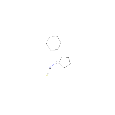 S=C=N[C@@H]1CCC[C@H]1C1CCCCC1